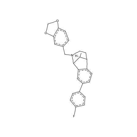 C[C@H]1C2CCN(Cc3ccc4c(c3)OCO4)C1c1cc(-c3ccc(F)cc3)ccc12